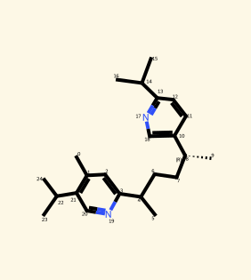 Cc1cc(C(C)CC[C@@H](C)c2ccc(C(C)C)nc2)ncc1C(C)C